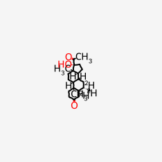 [2H]C([2H])([2H])[C@H]1C[C@@H]2[C@H](CC[C@@]3(C)[C@H]2CC[C@]3(O)C(C)=O)[C@@]2(C)CCC(=O)C=C12